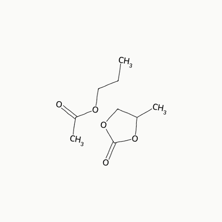 CC1COC(=O)O1.CCCOC(C)=O